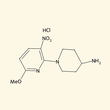 COc1ccc([N+](=O)[O-])c(N2CCC(N)CC2)n1.Cl